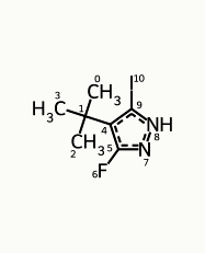 CC(C)(C)c1c(F)n[nH]c1I